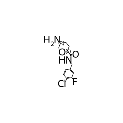 N[C@@H]1CC[C@@H](C(=O)NCc2ccc(Cl)c(F)c2)OC1